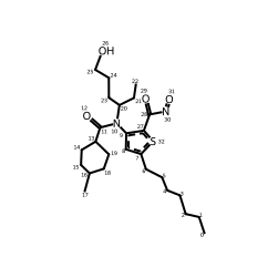 CCCCCCCc1cc(N(C(=O)C2CCC(C)CC2)C(CC)CCCO)c(C(=O)N=O)s1